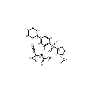 CO[C@H]1CC[C@H](S(=O)(=O)c2ccc(N3CCCCC3)cc2Cl)C1.N#CC1(NC(=O)O)CC1